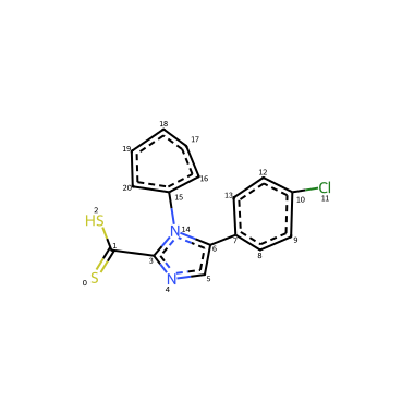 S=C(S)c1ncc(-c2ccc(Cl)cc2)n1-c1ccccc1